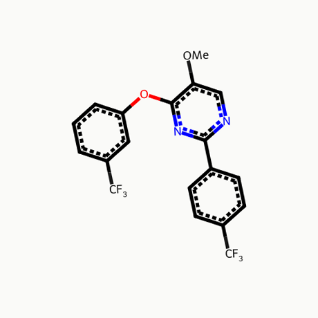 COc1cnc(-c2ccc(C(F)(F)F)cc2)nc1Oc1cccc(C(F)(F)F)c1